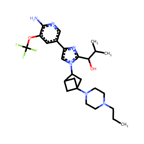 CCCN1CCN(C23CC(C2)C(n2cc(-c4cnc(N)c(OC(F)(F)F)c4)nc2C(O)C(C)C)C3)CC1